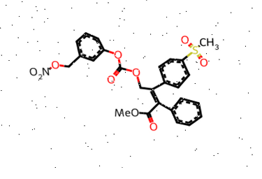 COC(=O)/C(=C(\COC(=O)Oc1cccc(CO[N+](=O)[O-])c1)c1ccc(S(C)(=O)=O)cc1)c1ccccc1